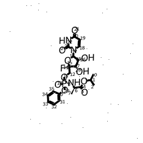 CC(C)OC(=O)[C@@H](C)N[P@](=O)(OC[C@@]1(F)OC(n2ccc(=O)[nH]c2=O)[C@H](O)[C@@H]1O)Oc1ccccc1